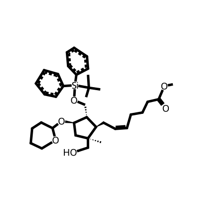 COC(=O)CCC/C=C\C[C@@H]1[C@@H](CO[Si](c2ccccc2)(c2ccccc2)C(C)(C)C)[C@H](OC2CCCCO2)C[C@]1(C)CO